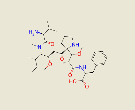 CC[C@H](C)[C@@H]([C@@H](CC(=O)[C@@]1([C@H](OC)[C@@H](C)C(=O)N[C@@H](Cc2ccccc2)C(=O)O)CCCN1)OC)N(C)C(=O)[C@@H](N)C(C)C